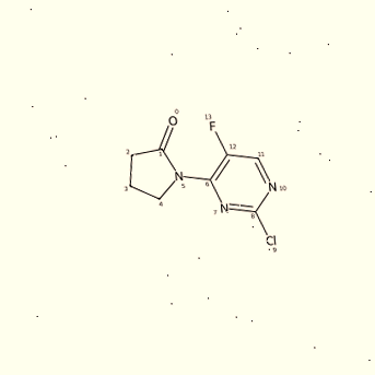 O=C1CCCN1c1nc(Cl)ncc1F